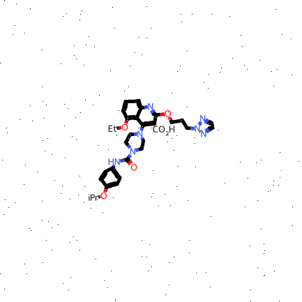 CCOc1cccc2nc(OCCCn3nccn3)c(C(=O)O)c(N3CCN(C(=O)Nc4ccc(OC(C)C)cc4)CC3)c12